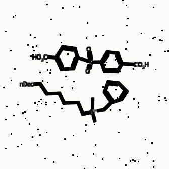 CCCCCCCCCCCCCCCC[N+](C)(C)Cc1ccccc1.O=C(O)c1ccc(S(=O)(=O)c2ccc(C(=O)O)cc2)cc1